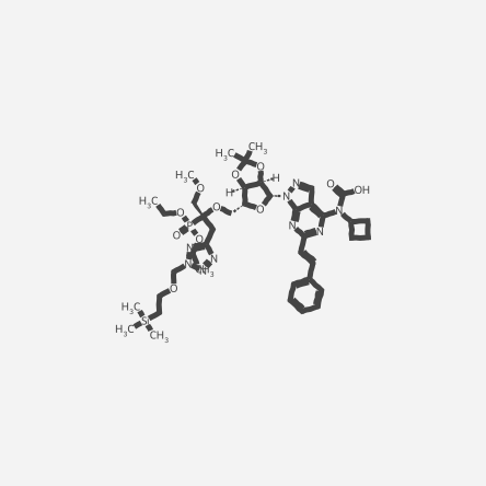 CCOP(=O)(OCC)[C@@](COC)(Cc1nnn(COCC[Si](C)(C)C)n1)OC[C@H]1O[C@@H](n2ncc3c(N(C(=O)O)C4CCC4)nc(/C=C/c4ccccc4)nc32)[C@@H]2OC(C)(C)O[C@@H]21